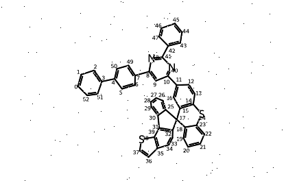 c1ccc(-c2ccc(-c3cc(-c4ccc5c(c4)C4(c6ccccc6S5)c5ccccc5-c5c4ccc4ccsc54)nc(-c4ccccc4)n3)cc2)cc1